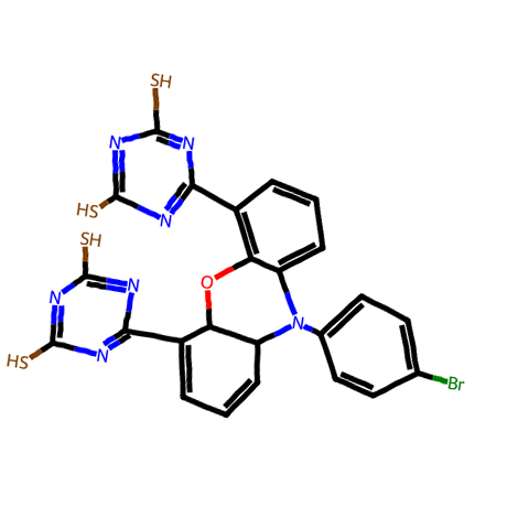 Sc1nc(S)nc(C2=CC=CC3C2Oc2c(-c4nc(S)nc(S)n4)cccc2N3c2ccc(Br)cc2)n1